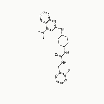 CN(C)c1cc(N[C@H]2CC[C@@H](NC(=O)NCc3ccccc3F)CC2)nc2ccccc12